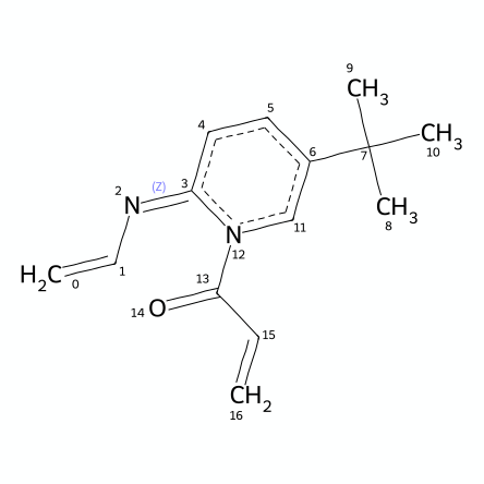 C=C/N=c1/ccc(C(C)(C)C)cn1C(=O)C=C